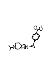 COC(=O)c1ccc(C2C[C@@H]2NCC2CCN(C(C)C)CC2)cc1